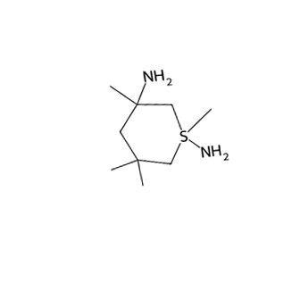 CC1(C)CC(C)(N)CS(C)(N)C1